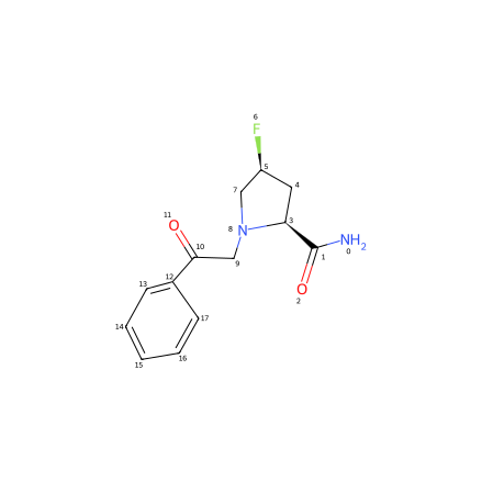 NC(=O)[C@@H]1C[C@H](F)CN1CC(=O)c1ccccc1